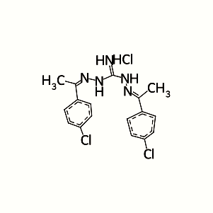 CC(=NNC(=N)NN=C(C)c1ccc(Cl)cc1)c1ccc(Cl)cc1.Cl